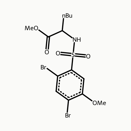 CCCCC(NS(=O)(=O)c1cc(OC)c(Br)cc1Br)C(=O)OC